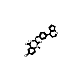 CN1C(=O)[C@H](Cc2ccc(C3CC=NC4=C3C=CC4)cc2)NC(=O)c2cc(Cl)ccc21